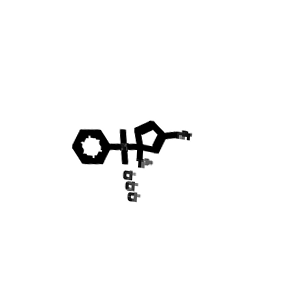 CCCC1=C[C]([Ti+3])([Si](C)(C)c2ccccc2)C=C1.[Cl-].[Cl-].[Cl-]